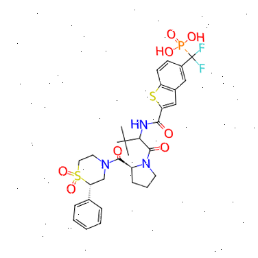 CC(C)(C)C(NC(=O)c1cc2cc(C(F)(F)P(=O)(O)O)ccc2s1)C(=O)N1CCC[C@H]1C(=O)N1CCS(=O)(=O)[C@@H](c2ccccc2)C1